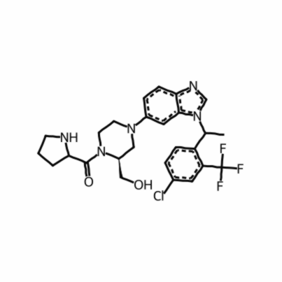 CC(c1ccc(Cl)cc1C(F)(F)F)n1cnc2ccc(N3CCN(C(=O)C4CCCN4)[C@H](CO)C3)cc21